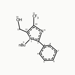 CCCCn1c(-c2ccccc2)nc(C(F)(F)F)c1CO